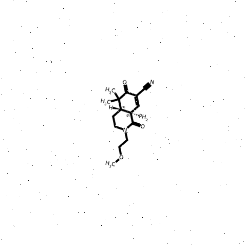 COCCN1CC[C@@H]2C(C)(C)C(=O)C(C#N)=C[C@@]2(P)C1=O